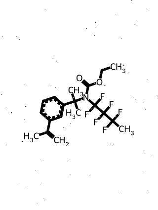 C=C(C)c1cccc(C(C)(C)N(C(=O)OCC)C(F)(F)C(F)(F)C(C)(F)F)c1